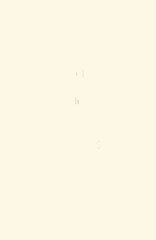 [Cl][Ir][CH]1CCCS1